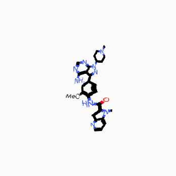 COc1cc(-c2nn(C3CCN(C)CC3)c3ncnc(N)c23)ccc1NC(=O)c1cc2ncccc2n1C